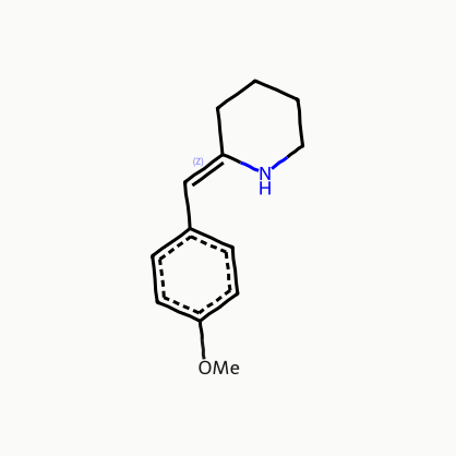 COc1ccc(/C=C2/CCCCN2)cc1